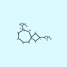 CC1CC2(CCCCN(C)C2)C1